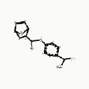 CC(N)c1ccc(OC(O)C2CC3C=CC2O3)cc1